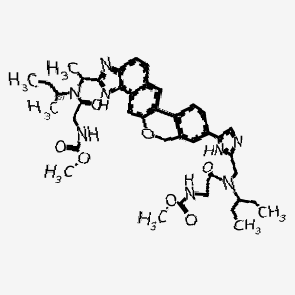 CCC(CC)N(Cc1ncc(-c2ccc3c(c2)COc2cc4c(ccc5nc(C(C)N(C(=O)CNC(=O)OC)[C@@H](C)CC)[nH]c54)cc2-3)[nH]1)C(=O)CNC(=O)OC